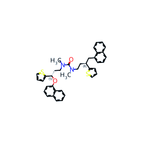 CN(CC[C@@H](Cc1cccc2ccccc12)c1cccs1)C(=O)N(C)CC[C@H](Oc1cccc2ccccc12)c1cccs1